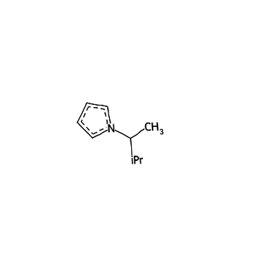 CC(C)C(C)n1cccc1